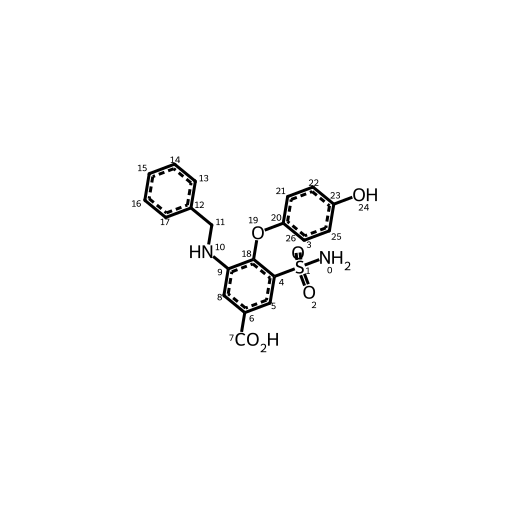 NS(=O)(=O)c1cc(C(=O)O)cc(NCc2ccccc2)c1Oc1ccc(O)cc1